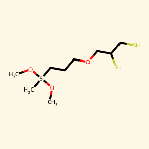 CO[Si](C)(CCCOCC(S)CS)OC